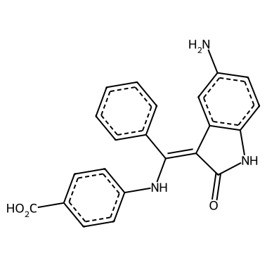 Nc1ccc2c(c1)/C(=C(/Nc1ccc(C(=O)O)cc1)c1ccccc1)C(=O)N2